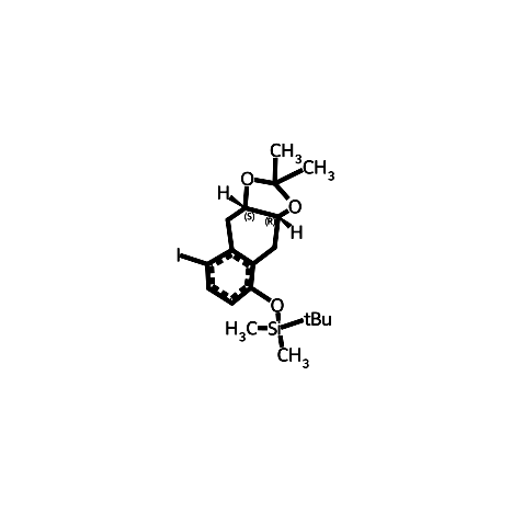 CC1(C)O[C@H]2Cc3c(I)ccc(O[Si](C)(C)C(C)(C)C)c3C[C@H]2O1